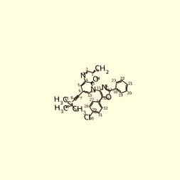 C=C/C=N\c1cc(C#C[Si](C)(C)C)cn(-c2nc(-c3ccccc3)oc2-c2ccc(Cl)cc2)c1=O